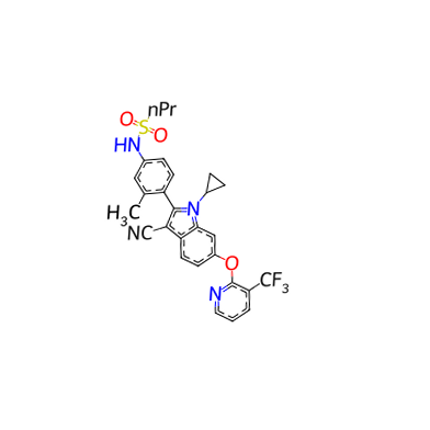 CCCS(=O)(=O)Nc1ccc(-c2c(C#N)c3ccc(Oc4ncccc4C(F)(F)F)cc3n2C2CC2)c(C)c1